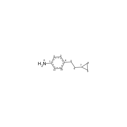 Nc1ccc(CCC2CC2)cc1